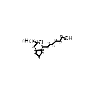 CCCCCCC(Cl)C[C@H]1CCC[C@@H]1CCCCCCCO